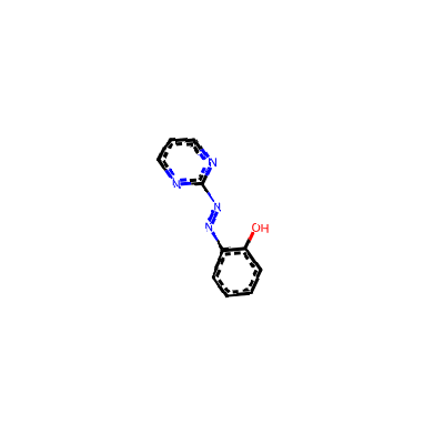 Oc1ccccc1/N=N/c1ncccn1